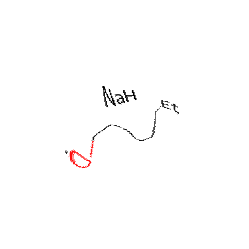 CCCC[O].[NaH]